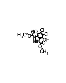 CCOC(=O)Nc1c(O)c(Cl)c(Cl)c(O)c1NC(=O)OCC